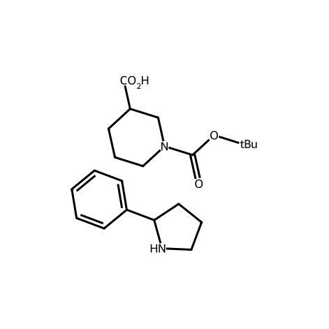 CC(C)(C)OC(=O)N1CCCC(C(=O)O)C1.c1ccc(C2CCCN2)cc1